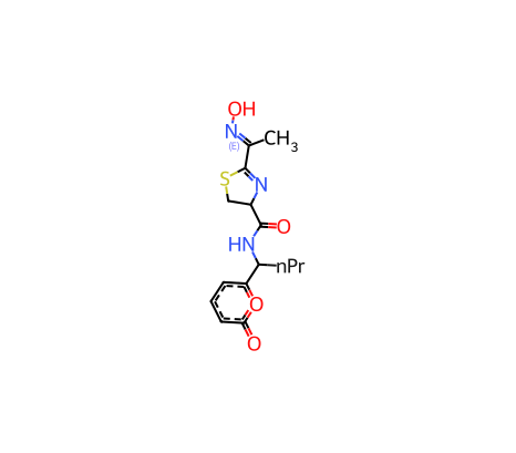 CCCC(NC(=O)C1CSC(/C(C)=N/O)=N1)c1cccc(=O)o1